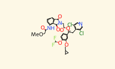 COCC(=O)Nc1cccc2c1C(=O)N(CC(=O)O[C@@H](Cc1c(Cl)cncc1Cl)c1ccc(OC(F)F)c(OCC3CC3)c1)C2=O